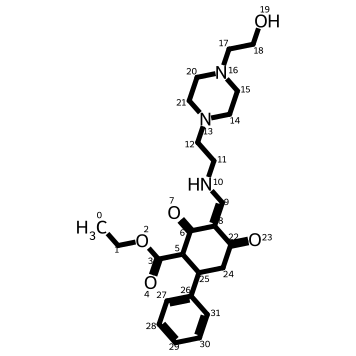 CCOC(=O)C1C(=O)/C(=C\NCCN2CCN(CCO)CC2)C(=O)CC1c1ccccc1